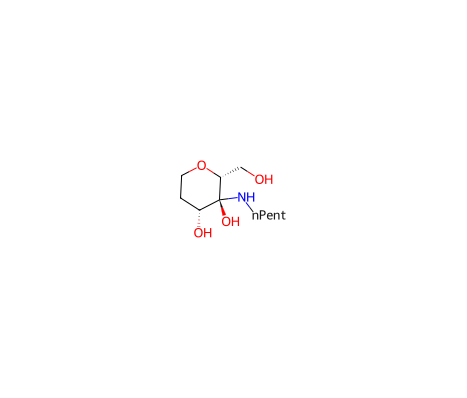 CCCCCN[C@]1(O)[C@H](O)CCO[C@@H]1CO